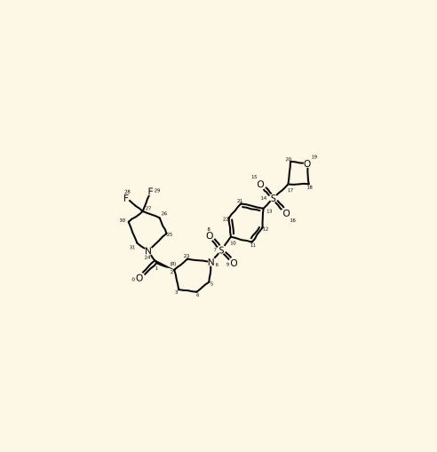 O=C([C@@H]1CCCN(S(=O)(=O)c2ccc(S(=O)(=O)C3COC3)cc2)C1)N1CCC(F)(F)CC1